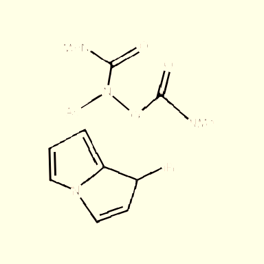 CC(C)C1C=Cn2cccc21.CNC(=O)ON(C(C)=O)C(=O)NC